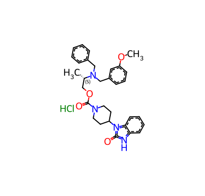 COc1cccc(CN(Cc2ccccc2)[C@@H](C)COC(=O)N2CCC(n3c(=O)[nH]c4ccccc43)CC2)c1.Cl